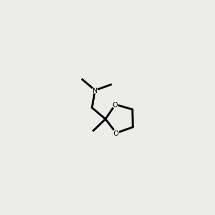 CN(C)CC1(C)OCCO1